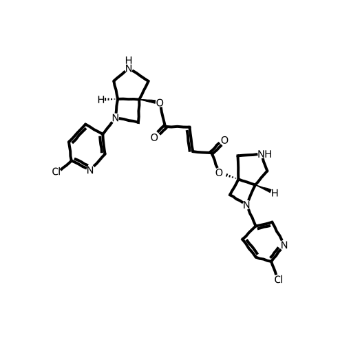 O=C(/C=C/C(=O)O[C@]12CNC[C@@H]1N(c1ccc(Cl)nc1)C2)O[C@]12CNC[C@@H]1N(c1ccc(Cl)nc1)C2